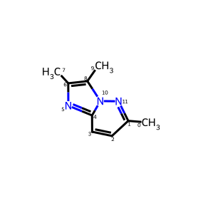 Cc1ccc2nc(C)c(C)n2n1